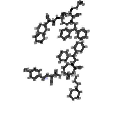 NCC[C@@H]1N[C@H](CNC(=O)c2ccc3ccccc3c2)CCN(CC(c2ccccc2)c2ccccc2)C1=O.O=C(/C=C/c1ccc(Cl)cc1)NC[C@@H]1CCN(CC(c2ccccc2)c2ccccc2)C(=O)[C@H](CCCN2CCCCC2)N1